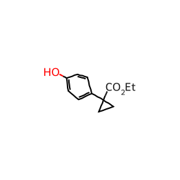 CCOC(=O)C1(c2ccc(O)cc2)CC1